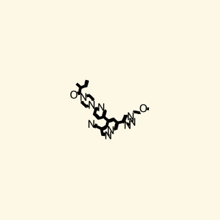 C=CC(C)C(=O)N1CCN(c2ccc(-c3cc(-c4cn(CCOC)nn4)cn4ncc(C#N)c34)cn2)CC1